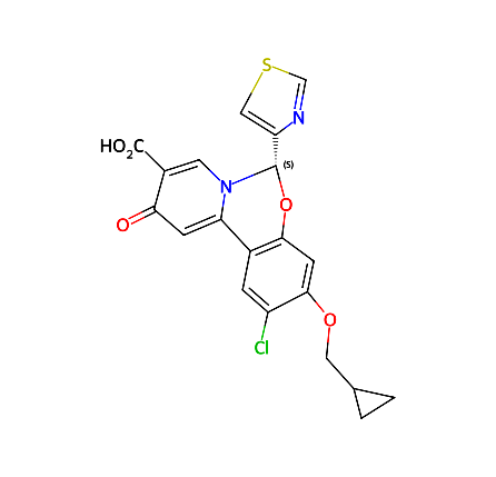 O=C(O)c1cn2c(cc1=O)-c1cc(Cl)c(OCC3CC3)cc1O[C@H]2c1cscn1